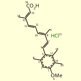 COc1cc(C)c(C=CC(C)=CC=CC(C)=CC(=O)O)c(C)c1C.Cl